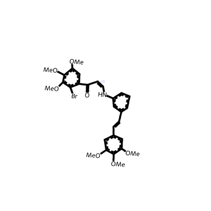 COc1cc(C=Cc2cccc(N/C=C\C(=O)c3cc(OC)c(OC)c(OC)c3Br)c2)cc(OC)c1OC